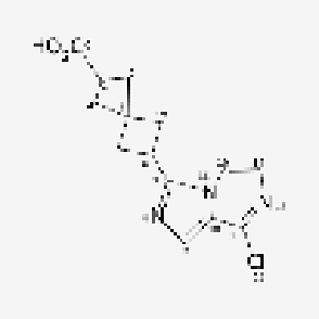 O=C(O)C1CC2(C1)CC(c1ncc3c(Cl)nccn13)C2